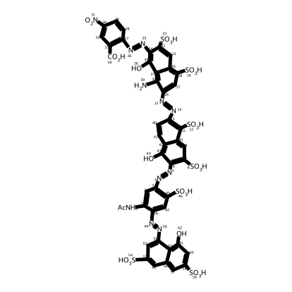 CC(=O)Nc1cc(N=Nc2c(S(=O)(=O)O)cc3c(S(=O)(=O)O)c(N=Nc4cc(S(=O)(=O)O)c5cc(S(=O)(=O)O)c(N=Nc6ccc([N+](=O)[O-])cc6C(=O)O)c(O)c5c4N)ccc3c2O)c(S(=O)(=O)O)cc1N=Nc1cc(S(=O)(=O)O)cc2cc(S(=O)(=O)O)cc(O)c12